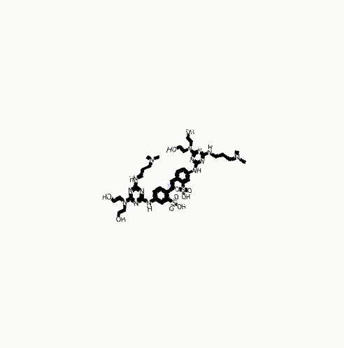 CN(C)CCCNc1nc(Nc2ccc(/C=C/c3ccc(Nc4nc(NCCCN(C)C)nc(N(CCO)CCO)n4)cc3S(=O)(=O)O)c(S(=O)(=O)O)c2)nc(N(CCO)CCO)n1